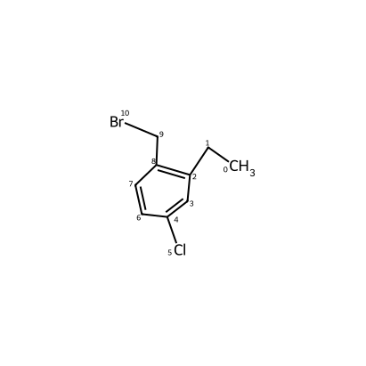 CCc1cc(Cl)ccc1CBr